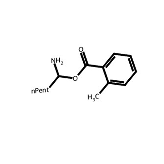 CCCCCC(N)OC(=O)c1ccccc1C